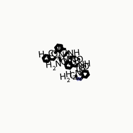 C=C/C=C\c1cccc(S(=O)(=O)NC(Cc2ccccc2)P(=O)(O)CC(=O)N[C@@H](Cc2cccc(OC)c2)C(=O)N[C@@H](CCc2ccccc2)C(N)=O)c1N